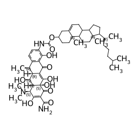 CC(C)CCC[C@@H](C)C1CCC2C3CC=C4CC(OC(=O)Nc5ccc6c(c5O)C(=O)C5=C(O)[C@]7(O)C(=O)C(C(N)=O)=C(O)[C@@H](N(C)C)[C@@H]7[C@@H](O)[C@@H]5[C@H]6C)CC[C@]4(C)C3CC[C@@]21C